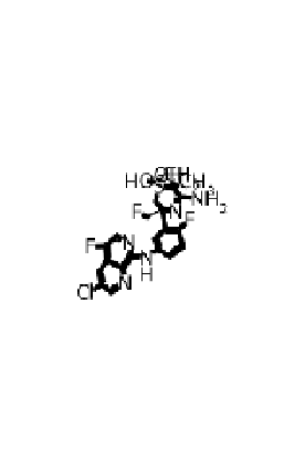 CC1(C)C(N)=N[C@](CF)(c2cc(Nc3ncc(F)c4cc(Cl)cnc34)ccc2F)CS1(O)O